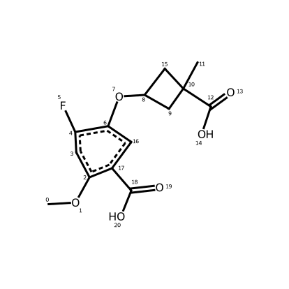 COc1cc(F)c(OC2CC(C)(C(=O)O)C2)cc1C(=O)O